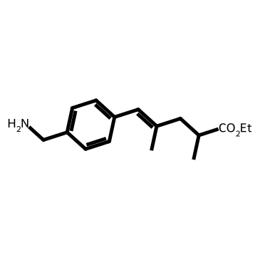 CCOC(=O)C(C)C/C(C)=C/c1ccc(CN)cc1